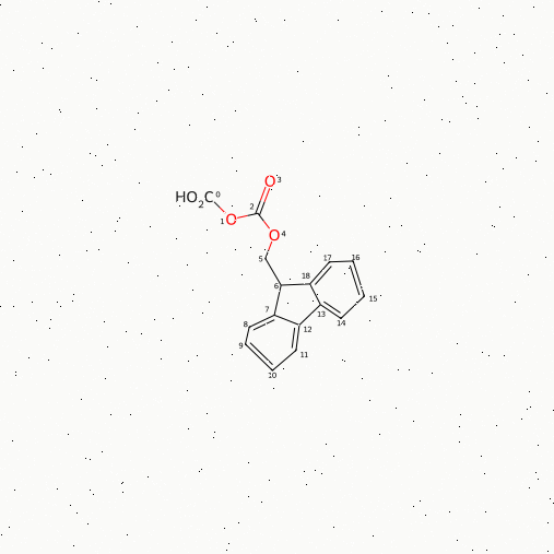 O=C(O)OC(=O)OCC1c2ccccc2-c2ccccc21